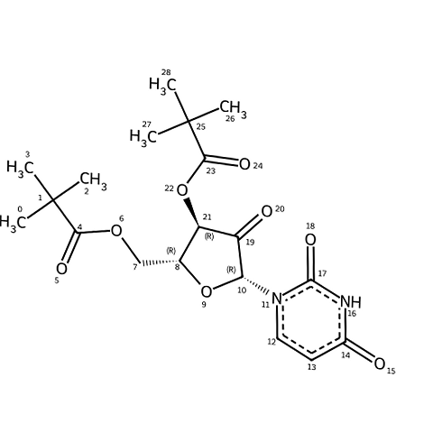 CC(C)(C)C(=O)OC[C@H]1O[C@@H](n2ccc(=O)[nH]c2=O)C(=O)[C@@H]1OC(=O)C(C)(C)C